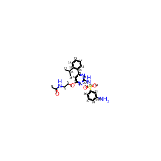 CC(=O)NCCOc1cc(-c2ccccc2C(C)C)nc(NS(=O)(=O)c2cccc(N)c2)n1